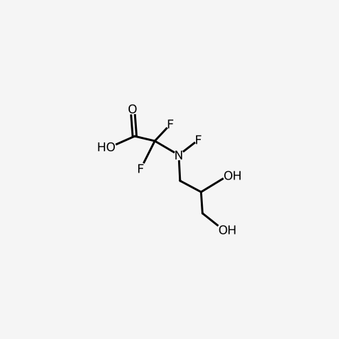 O=C(O)C(F)(F)N(F)CC(O)CO